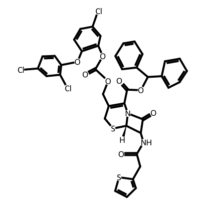 O=C(Cc1cccs1)NC1C(=O)N2C(C(=O)OC(c3ccccc3)c3ccccc3)=C(COC(=O)Oc3cc(Cl)ccc3Oc3ccc(Cl)cc3Cl)CS[C@@H]12